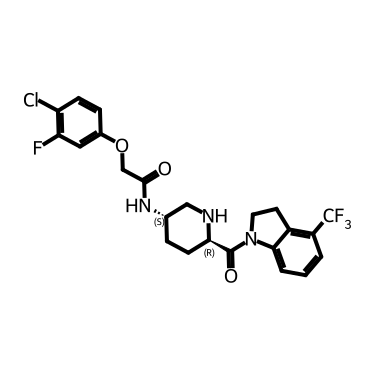 O=C(COc1ccc(Cl)c(F)c1)N[C@H]1CC[C@H](C(=O)N2CCc3c2cccc3C(F)(F)F)NC1